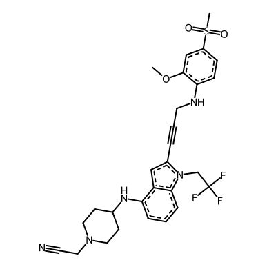 COc1cc(S(C)(=O)=O)ccc1NCC#Cc1cc2c(NC3CCN(CC#N)CC3)cccc2n1CC(F)(F)F